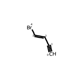 C#CC=CBr